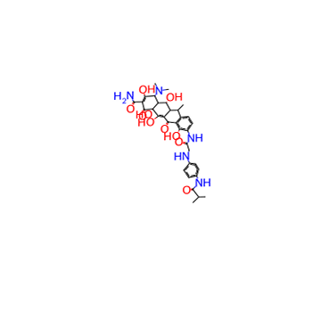 CC(C)C(=O)Nc1ccc(NCC(=O)Nc2ccc3c(c2O)C(=O)C2=C(O)C4(O)C(=O)C(C(N)=O)=C(O)[C@@H](N(C)C)C4C(O)C2C3C)cc1